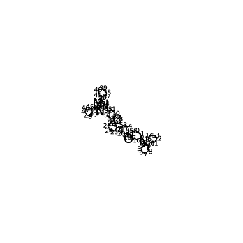 C1=CC(n2c3ccccc3c3ccccc32)Cc2oc3cc(-c4cccc5c4oc4ccc(-c6nc(-c7ccccc7)nc(-c7ccccc7)n6)cc45)ccc3c21